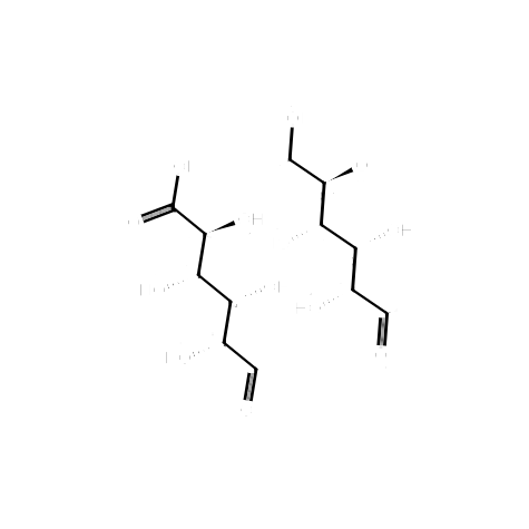 O=C[C@H](O)[C@@H](O)[C@H](O)[C@H](O)C(=O)O.O=C[C@H](O)[C@@H](O)[C@H](O)[C@H](O)CO